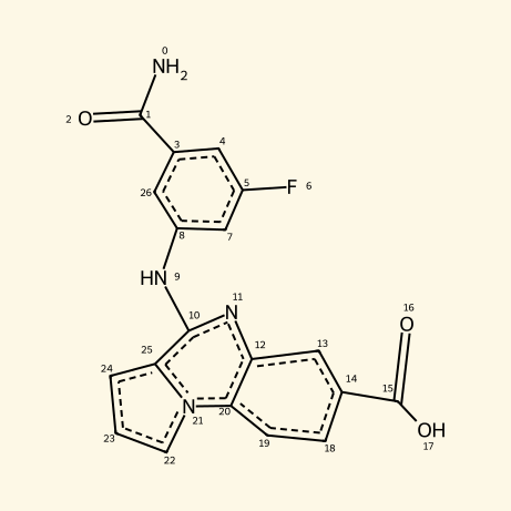 NC(=O)c1cc(F)cc(Nc2nc3cc(C(=O)O)ccc3n3cccc23)c1